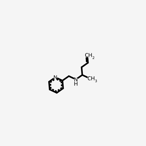 C=CCC(C)NCc1ccccn1